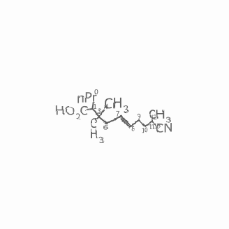 CCCC(C(=O)O)C(C)(C)C/C=C/CCC(C)C#N